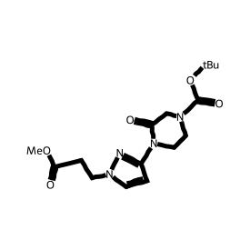 COC(=O)CCn1ccc(N2CCN(C(=O)OC(C)(C)C)CC2=O)n1